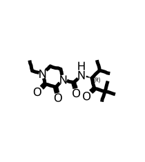 CCN1CCN(C(=O)N[C@@H](C(=O)C(C)(C)C)C(C)C)C(=O)C1=O